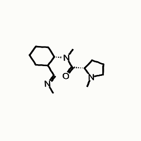 C/N=C/C1CCCC[C@@H]1N(C)C(=O)[C@@H]1CCCN1C